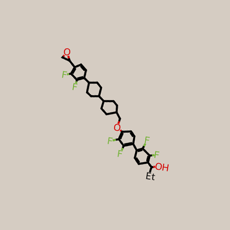 CCC(O)c1ccc(-c2ccc(OCC3CCC(C4CCC(c5ccc(C6CO6)c(F)c5F)CC4)CC3)c(F)c2F)c(F)c1F